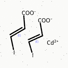 O=C([O-])/C=C/I.O=C([O-])/C=C/I.[Cd+2]